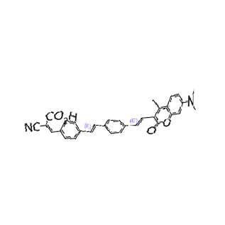 Cc1c(/C=C/c2ccc(/C=C/c3ccc(C=C(C#N)C(=O)O)cc3)cc2)c(=O)oc2cc(N(C)C)ccc12